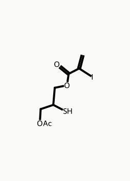 C=C(I)C(=O)OCC(S)COC(C)=O